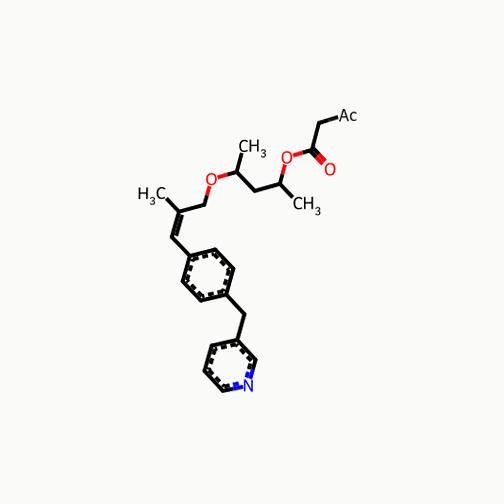 CC(=O)CC(=O)OC(C)CC(C)OCC(C)=Cc1ccc(Cc2cccnc2)cc1